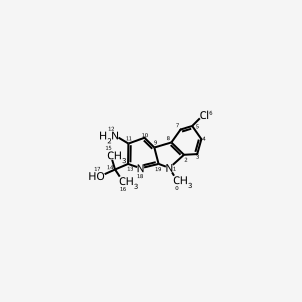 Cn1c2ccc(Cl)cc2c2cc(N)c(C(C)(C)O)nc21